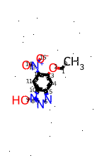 CCOc1cc2nnn(O)c2cc1[N+](=O)[O-]